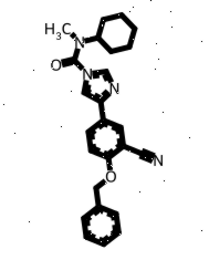 CN(C(=O)n1cnc(-c2ccc(OCc3ccccc3)c(C#N)c2)c1)C1CCCCC1